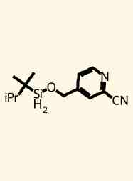 CC(C)C(C)(C)[SiH2]OCc1ccnc(C#N)c1